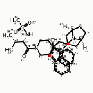 Cc1nc2ccccc2n1[C@H]1C[C@H]2CC[C@@H](C1)N2CCC1(c2ccccc2)CCN(C(=O)[C@@H](NS(C)(=O)=O)[C@@H](C)O)CC1